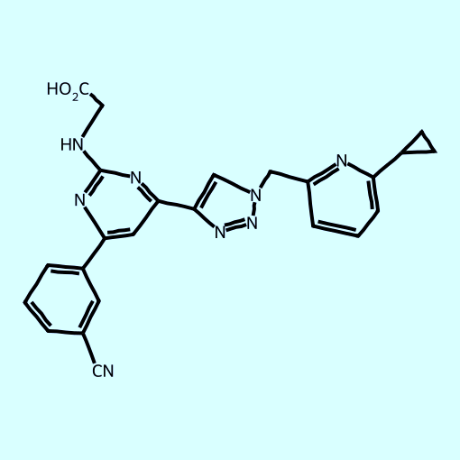 N#Cc1cccc(-c2cc(-c3cn(Cc4cccc(C5CC5)n4)nn3)nc(NCC(=O)O)n2)c1